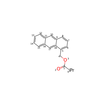 CC(C)C(=O)OCc1cccc2cc3ccccc3cc12